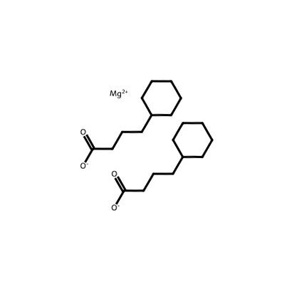 O=C([O-])CCCC1CCCCC1.O=C([O-])CCCC1CCCCC1.[Mg+2]